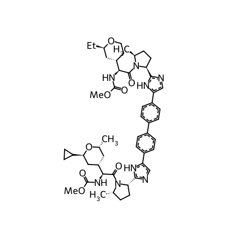 CC[C@@H]1C[C@@H]([C@H](NC(=O)OC)C(=O)N2[C@@H](C)CC[C@H]2c2ncc(-c3ccc(-c4ccc(-c5cnc([C@@H]6CC[C@H](C)N6C(=O)[C@@H](NC(=O)OC)[C@H]6C[C@@H](C)O[C@H](C7CC7)C6)[nH]5)cc4)cc3)[nH]2)CCO1